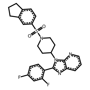 O=S(=O)(c1ccc2c(c1)CCC2)N1CCC(n2c(-c3ccc(F)cc3F)nc3cccnc32)CC1